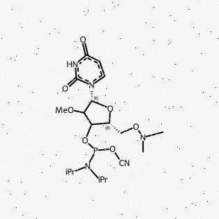 COC1C(OP(OC#N)N(C(C)C)C(C)C)[C@@H](CON(C)C)O[C@H]1n1ccc(=O)[nH]c1=O